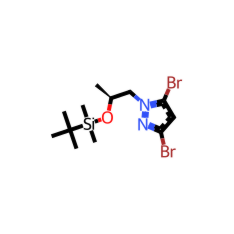 C[C@@H](Cn1nc(Br)cc1Br)O[Si](C)(C)C(C)(C)C